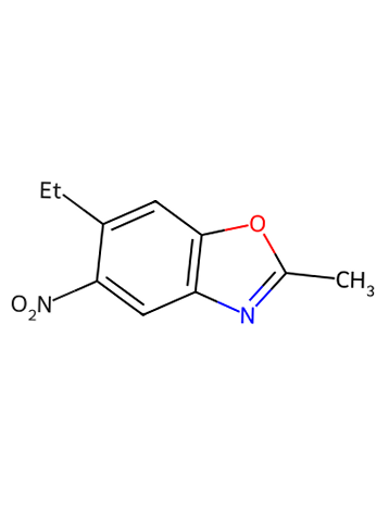 CCc1cc2oc(C)nc2cc1[N+](=O)[O-]